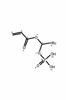 C=CC(=O)OC(CCCC)OP(=O)(O)O